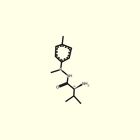 Cc1ccc(N(C)NC(=O)[C@@H](N)C(C)C)cc1